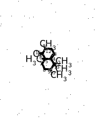 CC1CC=C2C(C)(CCC(C)C2(C)C)C1=O